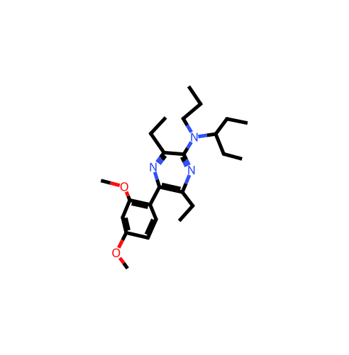 CCCN(c1nc(CC)c(-c2ccc(OC)cc2OC)nc1CC)C(CC)CC